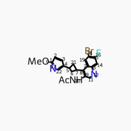 COc1ccc(C2CC(c3c(NC(C)=O)cnc4cc(F)c(Br)cc34)C2)cn1